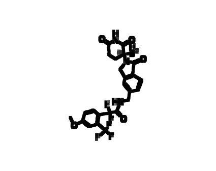 B[C@@]1(N2Cc3cc(CNC(=O)C(F)(F)c4ccc(OC)cc4C(F)(F)F)ccc3C2=O)CCC(=O)NC1=O